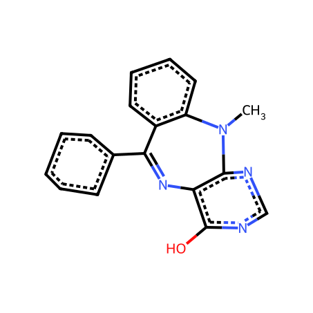 CN1c2ccccc2C(c2ccccc2)=Nc2c(O)ncnc21